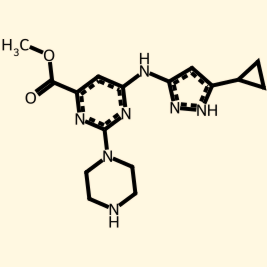 COC(=O)c1cc(Nc2cc(C3CC3)[nH]n2)nc(N2CCNCC2)n1